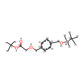 CC(C)(C)OC(=O)COCc1ccc(CO[Si](C)(C)C(C)(C)C)cc1